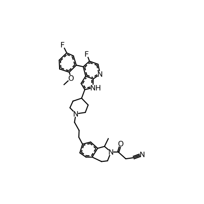 COc1ccc(F)cc1-c1c(F)cnc2[nH]c(C3CCN(CCCc4ccc5c(c4)C(C)N(C(=O)CC#N)CC5)CC3)cc12